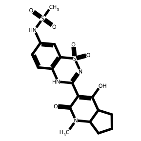 CN1C(=O)C(C2=NS(=O)(=O)c3cc(NS(C)(=O)=O)ccc3N2)=C(O)C2CCCC21